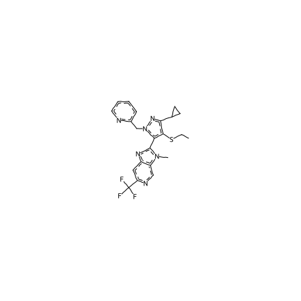 CCSc1c(C2CC2)nn(Cc2ccccn2)c1-c1nc2cc(C(F)(F)F)ncc2n1C